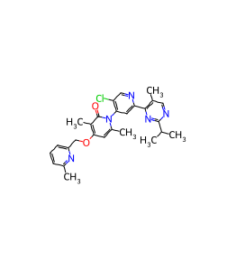 Cc1cccc(COc2cc(C)n(-c3cc(-c4nc(C(C)C)ncc4C)ncc3Cl)c(=O)c2C)n1